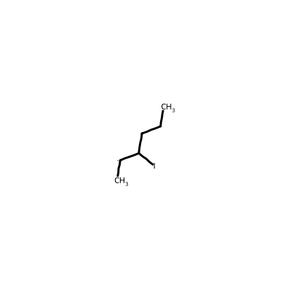 C[CH]C(I)CCC